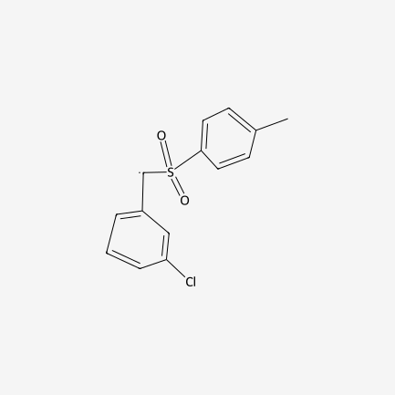 Cc1ccc(S(=O)(=O)[CH]c2cccc(Cl)c2)cc1